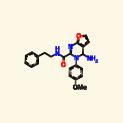 COc1ccc(N2C(C(=O)NCCc3ccccc3)=Nc3occc3C2N)cc1